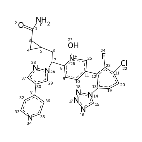 NC(=O)C1CC1CC(c1ccc(-c2c(-n3cnnn3)ccc(Cl)c2F)c[n+]1O)n1cc(-c2ccncc2)cn1